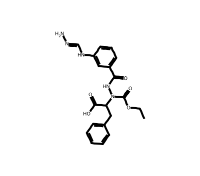 CCOC(=O)N(NC(=O)c1cccc(NC=NN)c1)C(Cc1ccccc1)C(=O)O